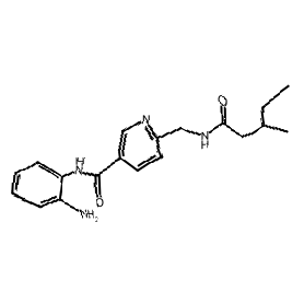 CCC(C)CC(=O)NCc1ccc(C(=O)Nc2ccccc2N)cn1